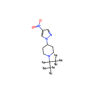 [2H]C([2H])([2H])C([2H])(N1CCC(n2cc([N+](=O)[O-])cn2)CC1)C([2H])([2H])[2H]